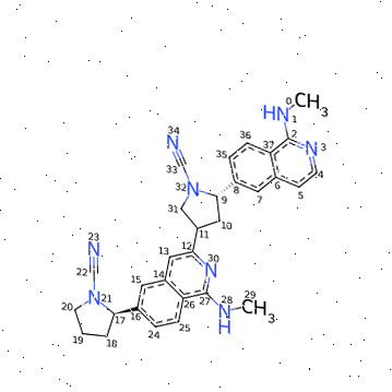 CNc1nccc2cc([C@@H]3CC(c4cc5cc([C@H]6CCCN6C#N)ccc5c(NC)n4)CN3C#N)ccc12